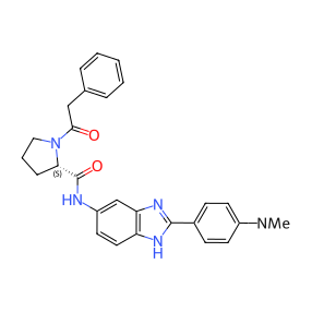 CNc1ccc(-c2nc3cc(NC(=O)[C@@H]4CCCN4C(=O)Cc4ccccc4)ccc3[nH]2)cc1